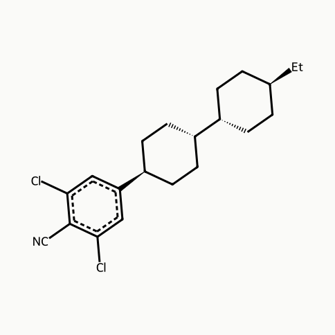 CC[C@H]1CC[C@H]([C@H]2CC[C@H](c3cc(Cl)c(C#N)c(Cl)c3)CC2)CC1